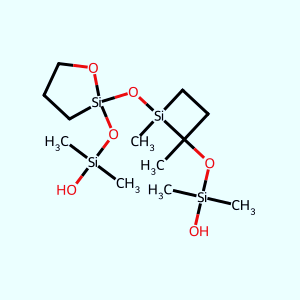 CC1(O[Si](C)(C)O)CC[Si]1(C)O[Si]1(O[Si](C)(C)O)CCCO1